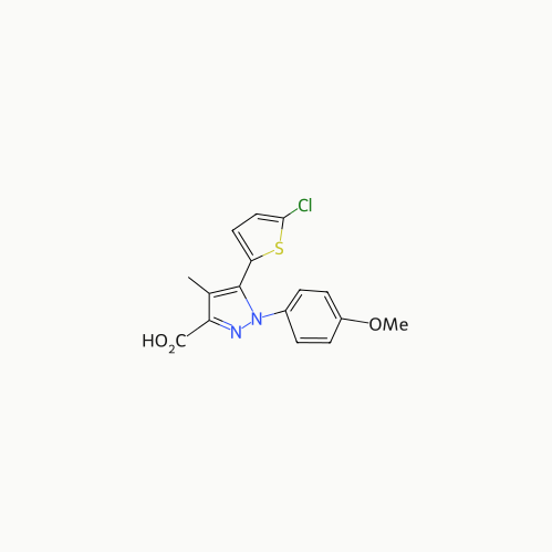 COc1ccc(-n2nc(C(=O)O)c(C)c2-c2ccc(Cl)s2)cc1